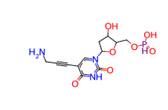 NCC#Cc1cn(C2CC(O)C(CO[PH](=O)O)O2)c(=O)[nH]c1=O